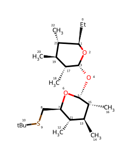 CC[C@H]1O[C@H](O[C@H]2O[C@H](CSC(C)(C)C)[C@@H](C)[C@H](C)[C@H]2C)[C@H](C)[C@@H](C)[C@@H]1C